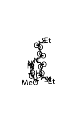 BC(C)(CCn1cc(CN(CCC(=O)OCCOC(=O)C(C)CSCC)CCC(=O)OCCOC(=O)C(C)CSN(C)CC)nn1)OCCC(C)(C)OC